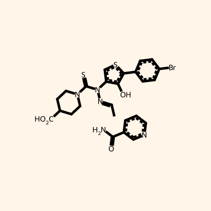 CC=NN(C(=S)N1CCC(C(=O)O)CC1)c1csc(-c2ccc(Br)cc2)c1O.NC(=O)c1cccnc1